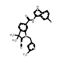 CC1(C)C(=C=O)N(Cc2csc(C(F)(F)F)c2)c2cc(C(=O)Nc3c[nH]c4ccc(F)cc34)ccc21